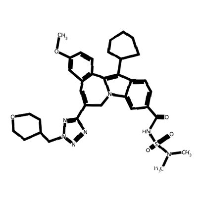 COc1ccc2c(c1)C=C(c1nnn(CC3CCOCC3)n1)Cn1c-2c(C2CCCCC2)c2ccc(C(=O)NS(=O)(=O)N(C)C)cc21